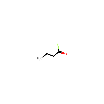 CC[CH]C(=O)F